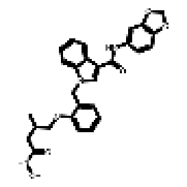 CC(COc1ccccc1Cn1cc(C(=O)Nc2ccc3c(c2)OCO3)c2ccccc21)CC(=O)NO